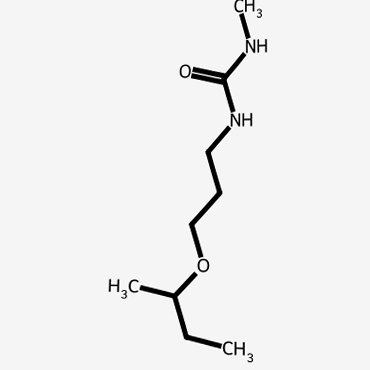 CCC(C)OCCCNC(=O)NC